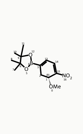 CO[C@@H]1CC(B2OC(C)(C)C(C)(C)O2)=CC=C1[N+](=O)[O-]